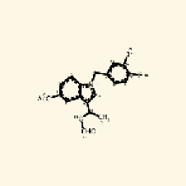 CC(=O)Oc1ccc2c(c1)c(C(C)OC=O)cn2Cc1ccc(F)c(Br)c1